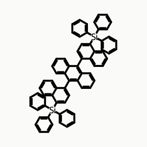 c1ccc([Si](c2ccccc2)(c2ccccc2)c2ccc(-c3c4ccccc4c(-c4ccc([Si](c5ccccc5)(c5ccccc5)c5ccccc5)c5ccccc45)c4ccccc34)c3ccccc23)cc1